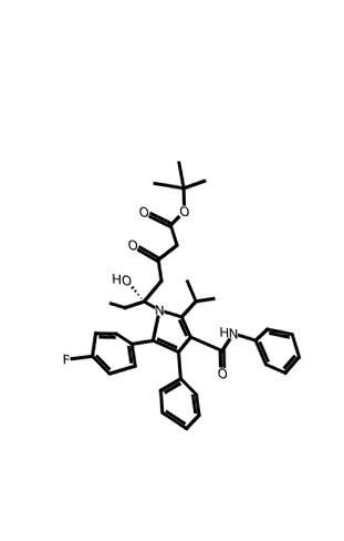 CC[C@@](O)(CC(=O)CC(=O)OC(C)(C)C)n1c(-c2ccc(F)cc2)c(-c2ccccc2)c(C(=O)Nc2ccccc2)c1C(C)C